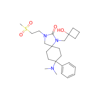 CN(C)C1(c2ccccc2)CCC2(CC1)CN(CCS(C)(=O)=O)C(=O)N2CC1(O)CCC1